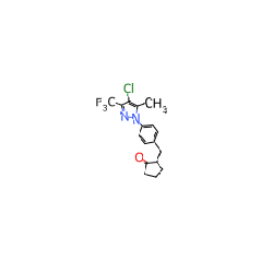 Cc1c(Cl)c(C(F)(F)F)nn1-c1ccc(CC2CCCC2=O)cc1